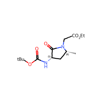 CCOC(=O)CN1C(=O)[C@@H](NC(=O)OC(C)(C)C)C[C@H]1C